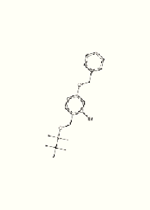 CC(C)(C)[Si](C)(C)OCc1ccc(OCc2ccccc2)cc1Br